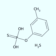 Cc1cccc(OP(O)(O)=S)c1.S